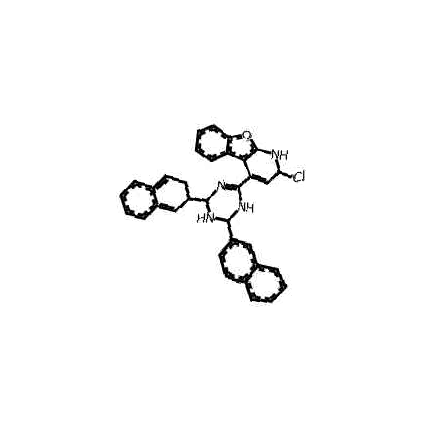 ClC1C=C(C2=NC(C3C=c4ccccc4=CC3)NC(c3ccc4ccccc4c3)N2)c2c(oc3ccccc23)N1